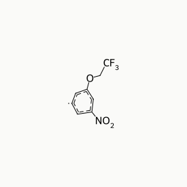 O=[N+]([O-])c1c[c]cc(OCC(F)(F)F)c1